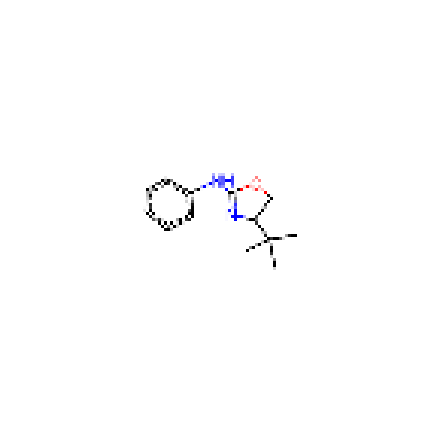 CC(C)(C)C1COC(Nc2ccccc2)=N1